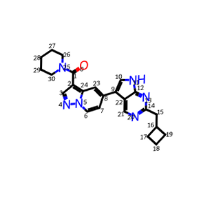 O=C(c1cnn2ccc(-c3c[nH]c4nc(CC5CCC5)ncc34)cc12)N1CCCCC1